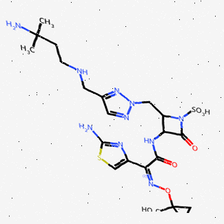 CC(C)(N)CCNCc1cnn(CC2C(NC(=O)/C(=N\OC3(C(=O)O)CC3)c3csc(N)n3)C(=O)N2S(=O)(=O)O)n1